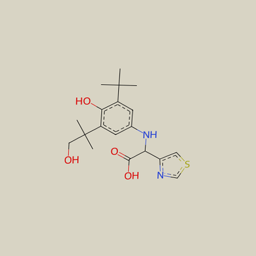 CC(C)(C)c1cc(NC(C(=O)O)c2cscn2)cc(C(C)(C)CO)c1O